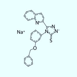 S=c1[n-]nc(-c2ccc3ccccc3n2)n1-c1cccc(OCc2ccccc2)c1.[Na+]